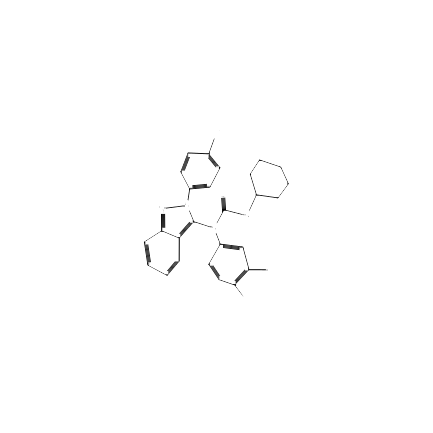 O=C(NC1CCCCC1)N(c1ccc(F)c(Cl)c1)c1c2ccccc2nn1-c1ccc(Cl)cc1